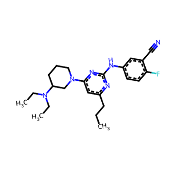 CCCc1cc(N2CCCC(N(CC)CC)C2)nc(Nc2ccc(F)c(C#N)c2)n1